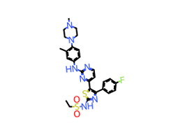 CCS(=O)(=O)Nc1nc(-c2ccc(F)cc2)c(-c2ccnc(Nc3ccc(N4CCN(C)CC4)c(C)c3)n2)s1